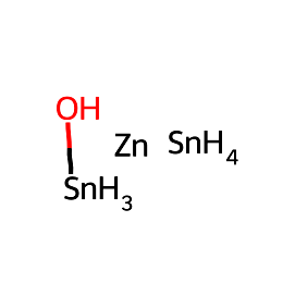 [OH][SnH3].[SnH4].[Zn]